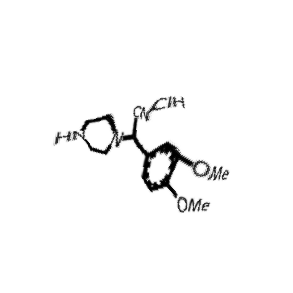 COc1ccc(C(C#N)N2CCNCC2)cc1OC.Cl